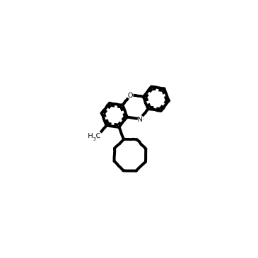 Cc1ccc2c(c1C1CCCCCCC1)[N]c1ccccc1O2